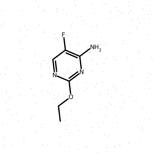 CCOc1ncc(F)c(N)n1